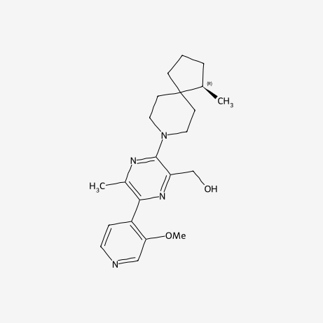 COc1cnccc1-c1nc(CO)c(N2CCC3(CCC[C@H]3C)CC2)nc1C